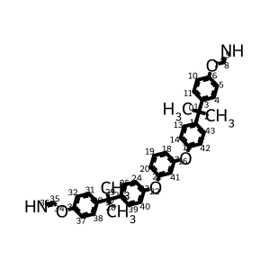 CC(C)(c1ccc(OC=N)cc1)c1ccc(Oc2cccc(Oc3ccc(C(C)(C)c4ccc(OC=N)cc4)cc3)c2)cc1